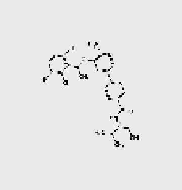 CC(Oc1cc(-c2ccc(C(=O)N[C@@H](CO)C(C)C)cc2)cnc1N)c1c(Cl)ccc(F)c1Cl